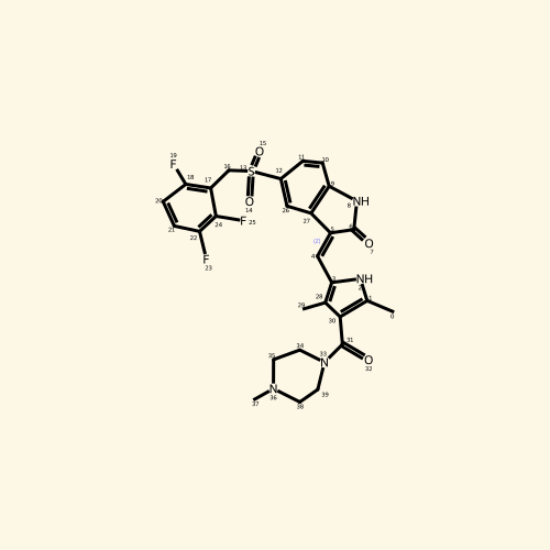 Cc1[nH]c(/C=C2\C(=O)Nc3ccc(S(=O)(=O)Cc4c(F)ccc(F)c4F)cc32)c(C)c1C(=O)N1CCN(C)CC1